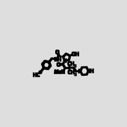 C#Cc1ccc(CNC(=O)[C@@H]2C[C@@H](O)CN2C(=O)[C@H](NC)C(C)(C)CCN2CCNCC2)cc1